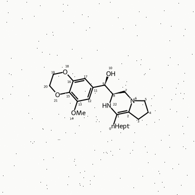 CCCCCCCC1=C2CCCN2C[C@H]([C@H](O)c2cc(OC)c3c(c2)OCCO3)N1